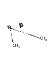 CCCCCCCCCCCCCCCCCCCCCCCC(CCCCCCCCCCCC)N1CCCC1.F[B-](F)(F)F